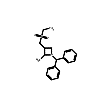 CCS(=O)(=O)CC1CN(C(c2ccccc2)c2ccccc2)C1C